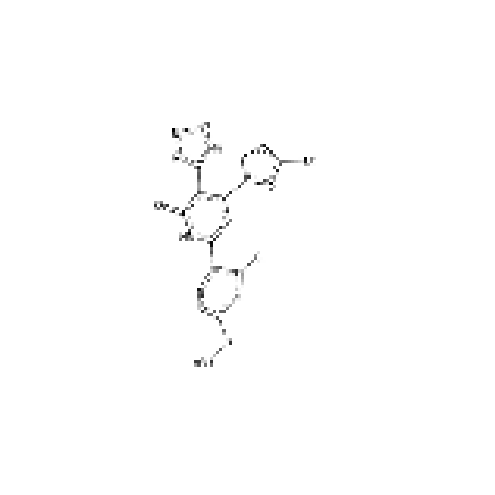 CCCCOc1ccc(-c2cc(-c3ccc(CC)s3)c(-c3nnn[nH]3)c(=O)[nH]2)c(Cl)c1